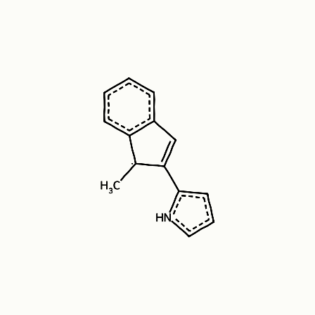 C[C]1C(c2ccc[nH]2)=Cc2ccccc21